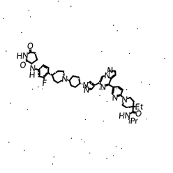 CCC1(C(=O)NC(C)C)CCN(c2ccc(-c3nc(-c4cnn([C@H]5CC[C@H](N6CCC(c7ccc(N[C@H]8CCC(=O)NC8=O)cc7F)CC6)CC5)c4)cn4nccc34)cn2)CC1